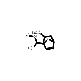 CCOC(=O)C1CC2C=CC1(C(C)OCC)O2